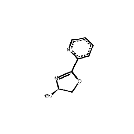 CC(C)(C)[C@@H]1COC(c2ccccn2)=N1